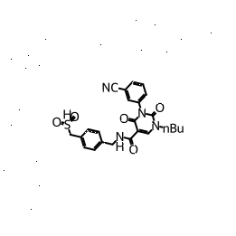 CCCCn1cc(C(=O)NCc2ccc(C[SH](=O)=O)cc2)c(=O)n(-c2cccc(C#N)c2)c1=O